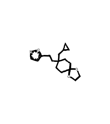 c1cc(CCC2(CC3CC3)CCC3(CC2)OCCO3)on1